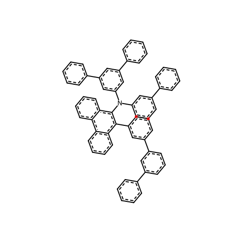 c1ccc(-c2cccc(-c3cccc(-c4c(N(c5cccc(-c6ccccc6)c5)c5cc(-c6ccccc6)cc(-c6ccccc6)c5)c5ccccc5c5ccccc45)c3)c2)cc1